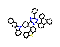 c1ccc(-c2nc(-c3ccc(-n4c5ccccc5c5cc6ccccc6cc54)cc3-c3cccc4sc5ccccc5c34)nc(-c3cccc4c5ccccc5c5ccccc5c34)n2)cc1